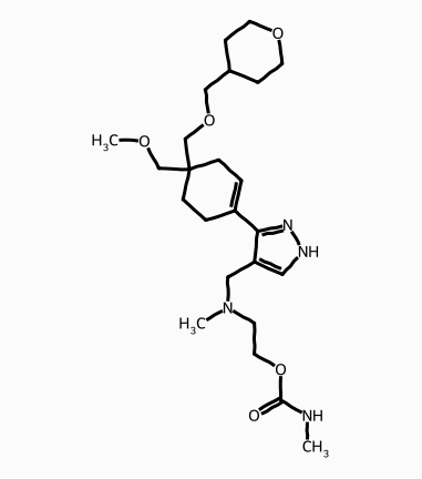 CNC(=O)OCCN(C)Cc1c[nH]nc1C1=CCC(COC)(COCC2CCOCC2)CC1